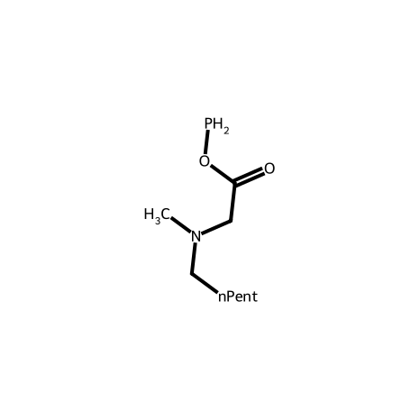 CCCCCCN(C)CC(=O)OP